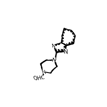 O=CN1CCN(c2nc3cccccc-3n2)CC1